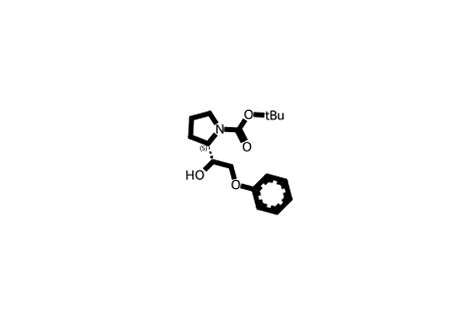 CC(C)(C)OC(=O)N1CCC[C@H]1C(O)COc1ccccc1